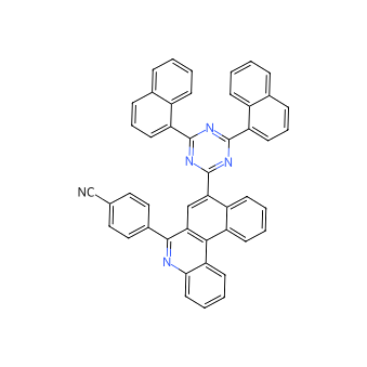 N#Cc1ccc(-c2nc3ccccc3c3c2cc(-c2nc(-c4cccc5ccccc45)nc(-c4cccc5ccccc45)n2)c2ccccc23)cc1